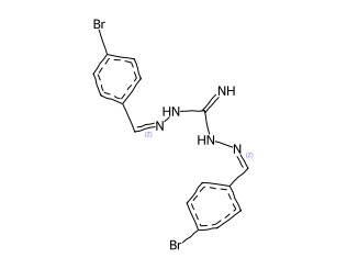 N=C(N/N=C\c1ccc(Br)cc1)N/N=C\c1ccc(Br)cc1